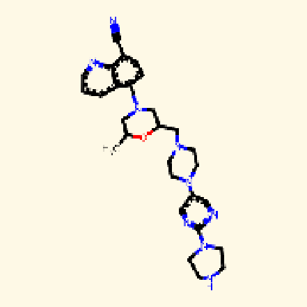 CC1CN(c2ccc(C#N)c3ncccc23)CC(CN2CCN(c3cnc(N4CCNCC4)nc3)CC2)O1